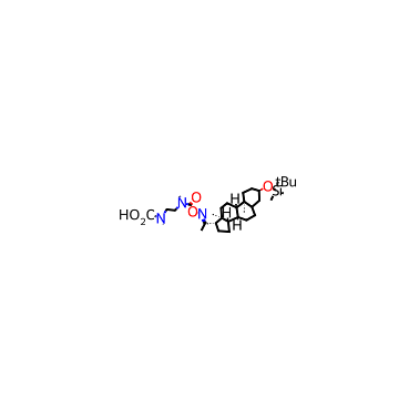 CC(=NOC(=O)N(C)CCN(C)C(=O)O)[C@H]1CC[C@H]2[C@@H]3CCC4C[C@H](O[Si](C)(C)C(C)(C)C)CC[C@]4(C)[C@H]3CC[C@]12C